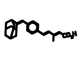 CC(/C=C/c1ccc(C=C2C3CC4CC(C3)CC2C4)cc1)=C\C(=O)O